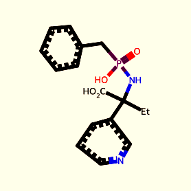 CCC(NP(=O)(O)Cc1ccccc1)(C(=O)O)c1cccnc1